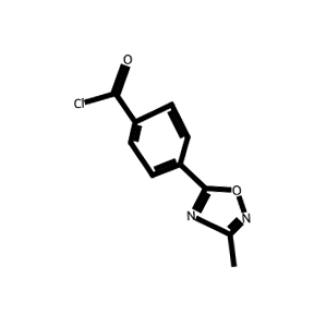 Cc1noc(-c2ccc(C(=O)Cl)cc2)n1